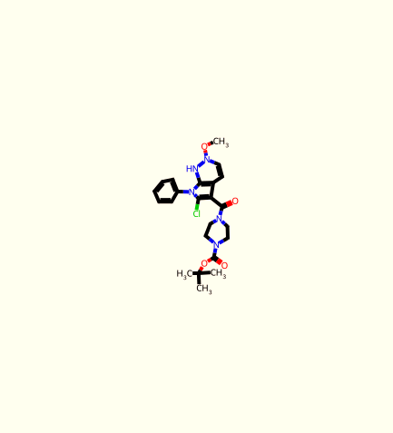 CON1C=Cc2c(C(=O)N3CCN(C(=O)OC(C)(C)C)CC3)c(Cl)n(-c3ccccc3)c2N1